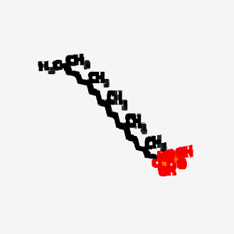 CC(C)=CCC/C(C)=C/CC/C(C)=C/CC/C(C)=C/CC/C(C)=C/COP(=O)(O)OP(=O)(O)O